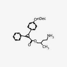 CCCCCCCCCCOc1ccc(C2C(C(=O)OCC(C)CCN)=C2c2ccccc2)cc1